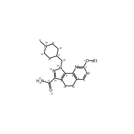 CCOc1ncc2c(n1)-c1c(c(C(N)=O)nn1CC1CCN(C)CC1)CC2